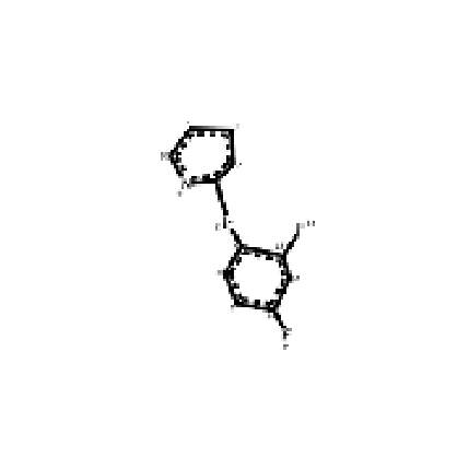 Fc1cc[c]([Ir][c]2ccccn2)c(F)c1